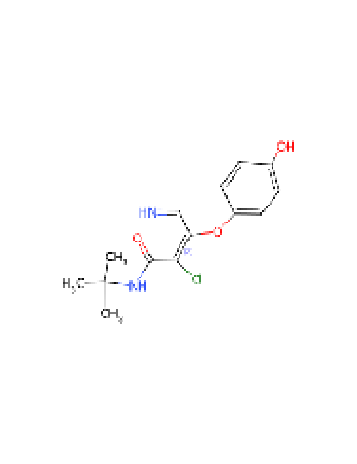 CC(C)(C)NC(=O)/C(Cl)=C(\C=N)Oc1ccc(O)cc1